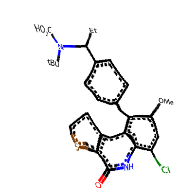 CCC(c1ccc(-c2c(OC)cc(Cl)c3[nH]c(=O)c4sccc4c23)cc1)N(C(=O)O)C(C)(C)C